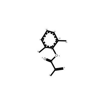 C=C(C)C(=O)Oc1c(C)cccc1C